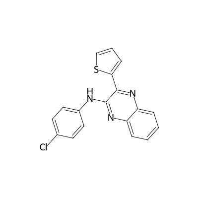 Clc1ccc(Nc2nc3ccccc3nc2-c2cccs2)cc1